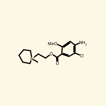 COc1cc(N)c(Cl)cc1C(=O)OCC[N+]1(C)CCCCC1